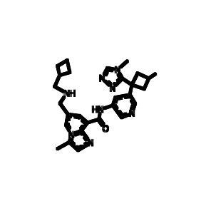 Cc1cnc2c(C(=O)Nc3cncc(C4(c5nncn5C)CC(C)C4)c3)cc(CNCC3CCC3)cn12